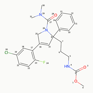 COC(=O)NCCCC1(c2ccccc2)C=C(c2cc(Cl)ccc2F)CN1C(=O)N(C)C